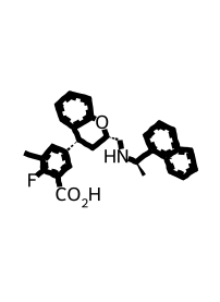 Cc1cc([C@H]2C[C@@H](CN[C@H](C)c3cccc4ccccc34)Oc3ccccc32)cc(C(=O)O)c1F